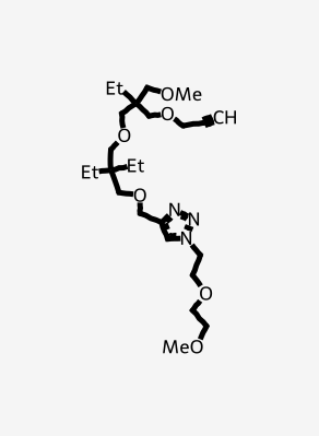 C#CCOCC(CC)(COC)COCC(CC)(CC)COCc1cn(CCOCCOC)nn1